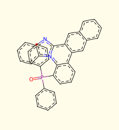 O=P(c1ccccc1)(c1ccccc1)c1cccc2c3cc4ccccc4cc3c3nc4ccccc4n3c12